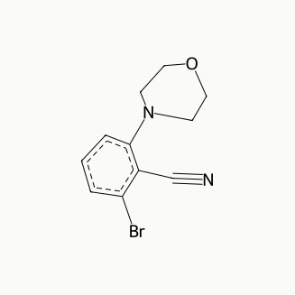 N#Cc1c(Br)cccc1N1CCOCC1